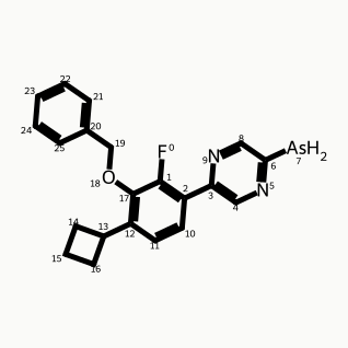 Fc1c(-c2cnc([AsH2])cn2)ccc(C2CCC2)c1OCc1ccccc1